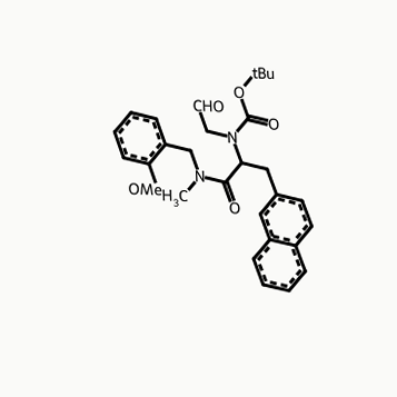 COc1ccccc1CN(C)C(=O)C(Cc1ccc2ccccc2c1)N(CC=O)C(=O)OC(C)(C)C